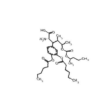 CCCCCC(=O)Oc1ccc(C(C(C)C(C)OC(=O)OC(C)CCC)[C@H](N)C(=O)O)cc1OC(=O)CCCCC